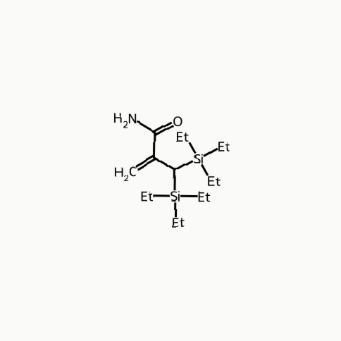 C=C(C(N)=O)C([Si](CC)(CC)CC)[Si](CC)(CC)CC